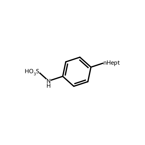 CCCCCCCc1ccc(NS(=O)(=O)O)cc1